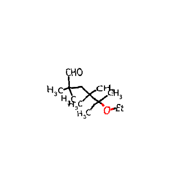 CCOC(C)(C)C(C)(C)CC(C)(C)C=O